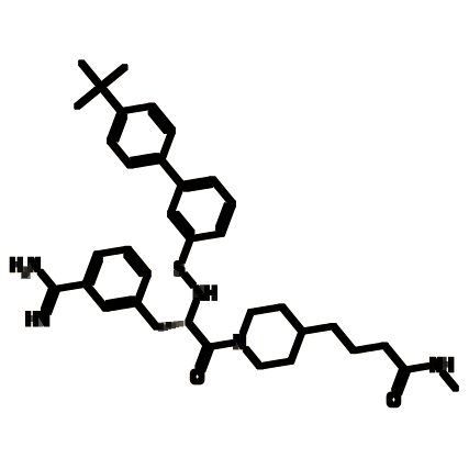 CNC(=O)CCCC1CCN(C(=O)[C@H](Cc2cccc(C(=N)N)c2)NSc2cccc(-c3ccc(C(C)(C)C)cc3)c2)CC1